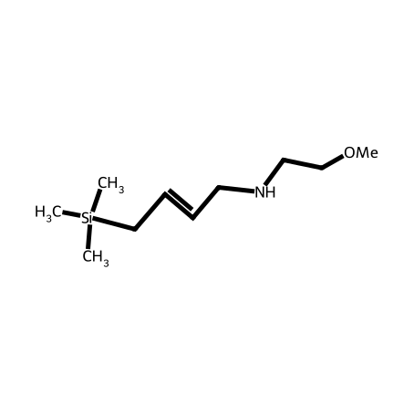 COCCNCC=CC[Si](C)(C)C